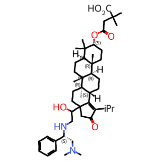 CC(C)C1=C2[C@H]3CC[C@@H]4[C@@]5(C)CC[C@H](OC(=O)CC(C)(C)C(=O)O)C(C)(C)[C@@H]5CC[C@@]4(C)[C@]3(C)CCC2(C(O)CN[C@H](CN(C)C)c2ccccc2)CC1=O